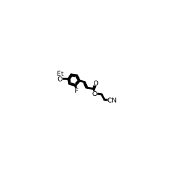 CCOc1ccc(/C=C/C(=O)OCCC#N)c(F)c1